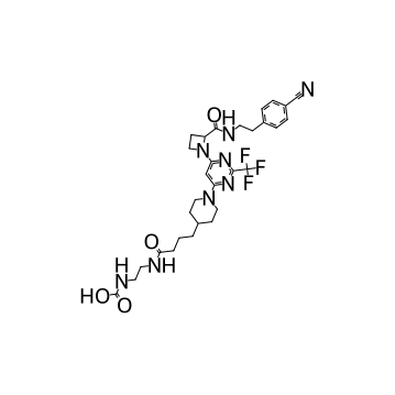 N#Cc1ccc(CCNC(=O)C2CCN2c2cc(N3CCC(CCCC(=O)NCCNC(=O)O)CC3)nc(C(F)(F)F)n2)cc1